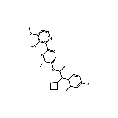 COc1ccnc(C(=O)N[C@@H](C)C(=O)O[C@@H](C)[C@H](C2CCC2)C2C=CC(F)=CC2C)c1O